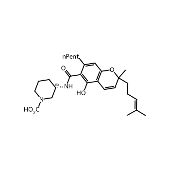 CCCCCc1cc2c(c(O)c1C(=O)N[C@H]1CCCN(C(=O)O)C1)C=CC(C)(CCC=C(C)C)O2